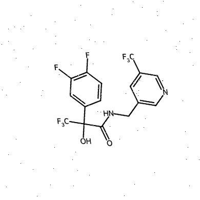 O=C(NCc1cncc(C(F)(F)F)c1)C(O)(c1ccc(F)c(F)c1)C(F)(F)F